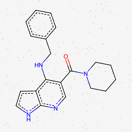 O=C(c1cnc2[nH]ccc2c1NCc1ccccc1)N1CCCCC1